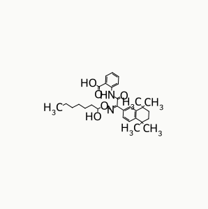 CCCCCCC(O)ON=C(C(=O)Nc1ccccc1C(=O)O)c1ccc2c(c1)C(C)(C)CCC2(C)C